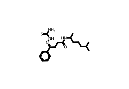 CC(C)CCCC(C)NC(=O)CCC(=NNC(N)=S)c1ccccc1